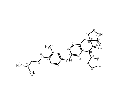 Cc1cc(Nc2ncc3c(n2)N(C2CCCC2)C(=O)[C@]2(CCNC2=O)C3)ccc1OCCN(C)C